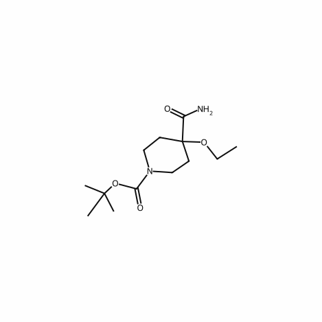 CCOC1(C(N)=O)CCN(C(=O)OC(C)(C)C)CC1